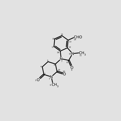 CN1C(=O)CCC(n2c(=O)n(C)c3c(C=O)cccc32)C1=O